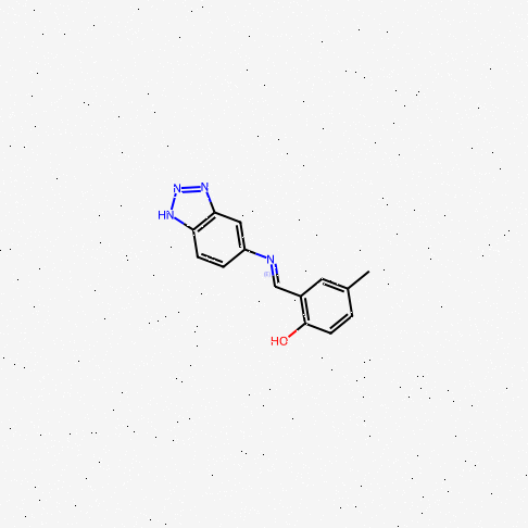 Cc1ccc(O)c(/C=N/c2ccc3[nH]nnc3c2)c1